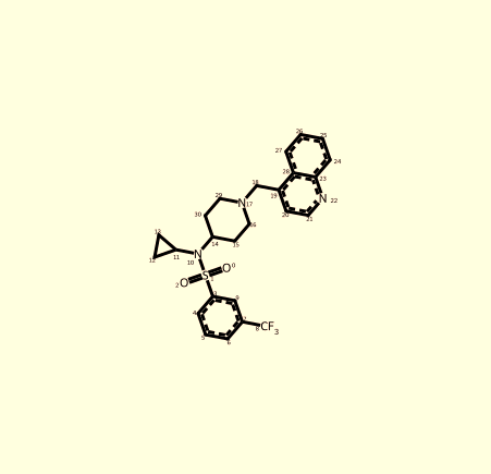 O=S(=O)(c1cccc(C(F)(F)F)c1)N(C1CC1)C1CCN(Cc2ccnc3ccccc23)CC1